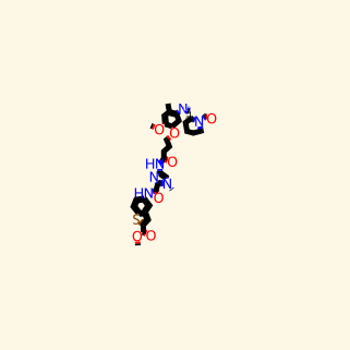 COC(=O)c1cc2cc(NC(=O)c3nc(NC(=O)CCCOC4CC(/N=C\[C@H]5CCCCN5C=O)=C(C)C=C4OC)cn3C)ccc2s1